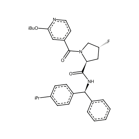 CC(C)COc1cc(C(=O)N2C[C@H](F)C[C@H]2C(=O)N[C@@H](c2ccccc2)c2ccc(C(C)C)cc2)ccn1